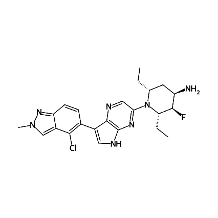 CC[C@@H]1C[C@@H](N)[C@@H](F)[C@H](CC)N1c1cnc2c(-c3ccc4nn(C)cc4c3Cl)c[nH]c2n1